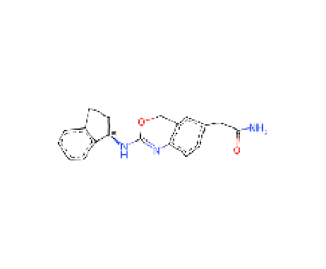 NC(=O)Cc1ccc2c(c1)COC(N[C@@H]1CCc3ccccc31)=N2